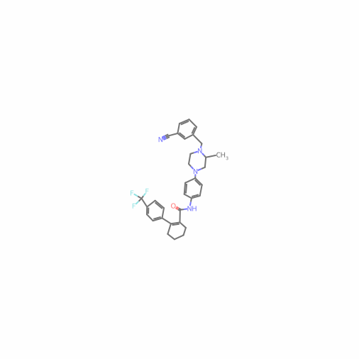 CC1CN(c2ccc(NC(=O)C3=C(c4ccc(C(F)(F)F)cc4)CCCC3)cc2)CCN1Cc1cccc(C#N)c1